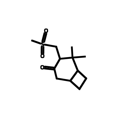 CC1(C)C(CS(C)(=O)=O)C(=O)CC2CCC21